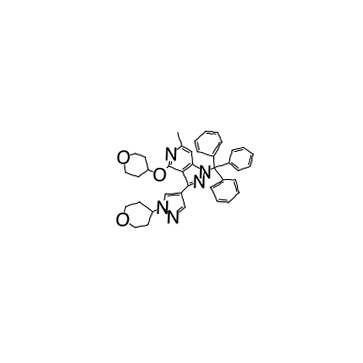 Cc1cc2c(c(OC3CCOCC3)n1)c(-c1cnn(C3CCOCC3)c1)nn2C(c1ccccc1)(c1ccccc1)c1ccccc1